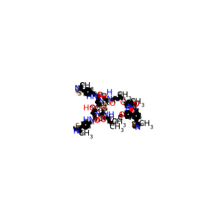 COc1cccc(C(=O)N2C[C@H](OCC(C)CCC(=O)N[C@@H](CSSC[C@@H](NC(=O)CCC(C)C)C(=O)N3C[C@@H](O)C[C@@H]3C(=O)NCc3ccc(-c4scnc4C)cc3)C(=O)N3C[C@H](O)C[C@H]3C(=O)NCc3ccc(-c4scnc4C)cc3)CC2(C)C(=O)NCc2ccc(-c3scnc3C)cc2)c1